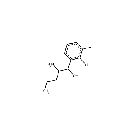 CCCC(N)C(O)c1cccc(F)c1Cl